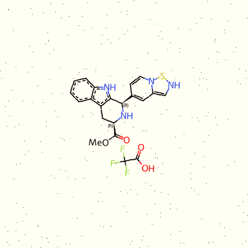 COC(=O)[C@H]1Cc2c([nH]c3ccccc23)[C@@H](C2=CC3=CNSN3C=C2)N1.O=C(O)C(F)(F)F